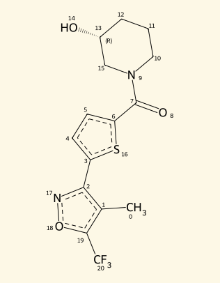 Cc1c(-c2ccc(C(=O)N3CCC[C@@H](O)C3)s2)noc1C(F)(F)F